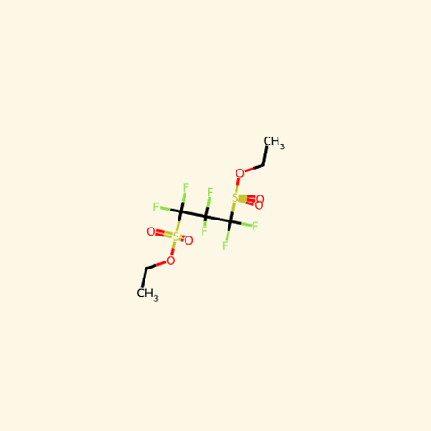 CCOS(=O)(=O)C(F)(F)C(F)(F)C(F)(F)S(=O)(=O)OCC